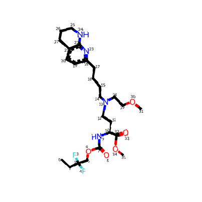 CCC(F)(F)COC(=O)N[C@@H](CCN(CCCCc1ccc2c(n1)NCCC2)CCOC)C(=O)OC